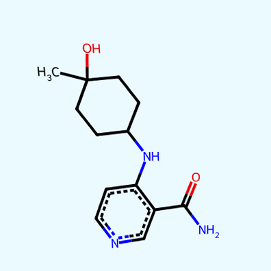 CC1(O)CCC(Nc2ccncc2C(N)=O)CC1